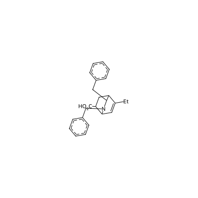 CCC1=CC2C(C(=O)O)CC1C(Cc1ccccc1)N2Cc1ccccc1